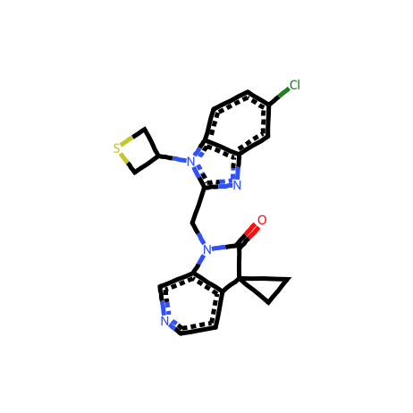 O=C1N(Cc2nc3cc(Cl)ccc3n2C2CSC2)c2cnccc2C12CC2